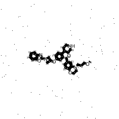 COCCCN1CCOc2ccc(COC3CNCCC3c3ccc(OC4CN(c5nc6ccccc6o5)C4)cc3)cc21